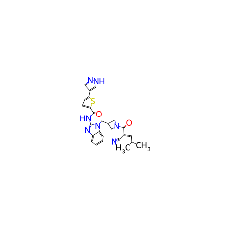 CC(C)C=C(C#N)C(=O)N1CC(Cn2c(NC(=O)c3ccc(-c4cn[nH]c4)s3)nc3ccccc32)C1